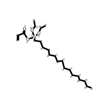 C=CC(=O)O[Si](CCCCCCCCCCCCCCCC)(OCC)OCC